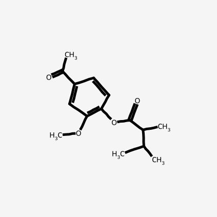 COc1cc(C(C)=O)ccc1OC(=O)C(C)C(C)C